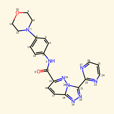 O=C(Nc1ccc(N2CCOCC2)cc1)c1ccc2nnc(-c3ncccn3)n2n1